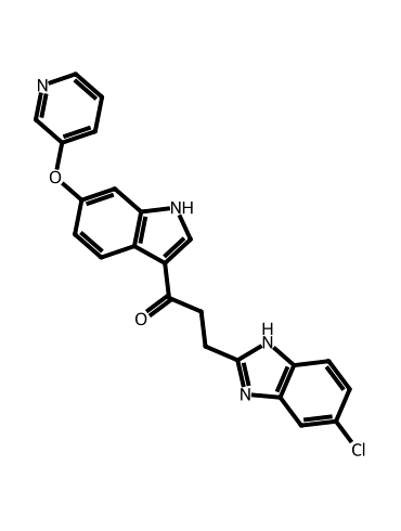 O=C(CCc1nc2cc(Cl)ccc2[nH]1)c1c[nH]c2cc(Oc3cccnc3)ccc12